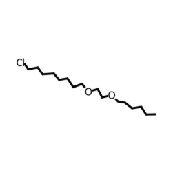 CCCCCCOCCOCCCCCCCCCl